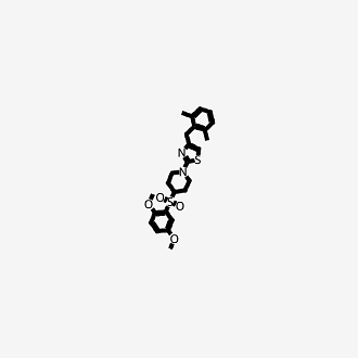 COc1ccc(OC)c(S(=O)(=O)C2CCN(c3nc(Cc4c(C)cccc4C)cs3)CC2)c1